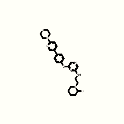 O=C1CCCCN1CCNc1cncc(Oc2ccc(-c3ccc(N4CCOCC4)nc3)cc2)n1